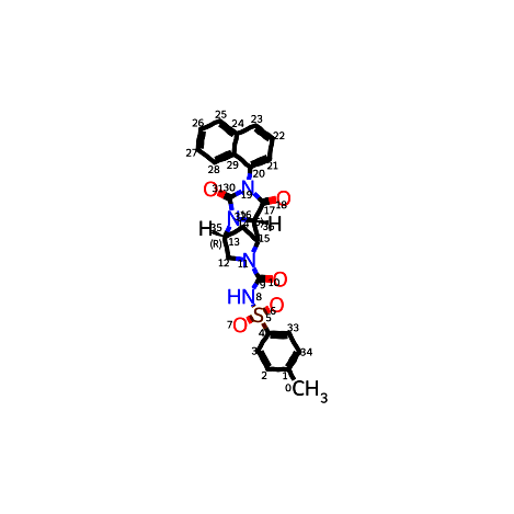 Cc1ccc(S(=O)(=O)NC(=O)N2C[C@H]3CC2[C@H]2C(=O)N(c4cccc5ccccc45)C(=O)N32)cc1